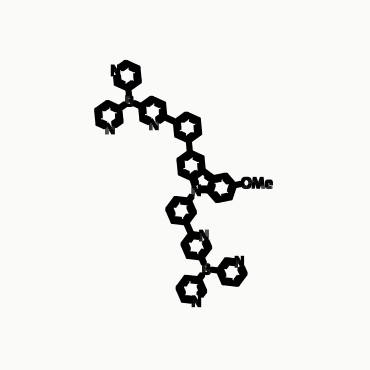 COc1ccc2c(c1)c1cc(-c3cccc(-c4ccc(B(c5cccnc5)c5cccnc5)cn4)c3)ccc1n2-c1cccc(-c2ccc(B(c3cccnc3)c3cccnc3)cn2)c1